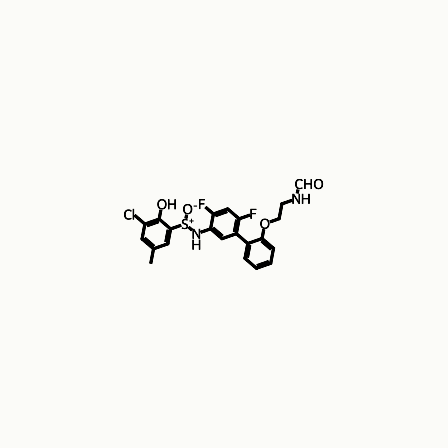 Cc1cc(Cl)c(O)c([S+]([O-])Nc2cc(-c3ccccc3OCCNC=O)c(F)cc2F)c1